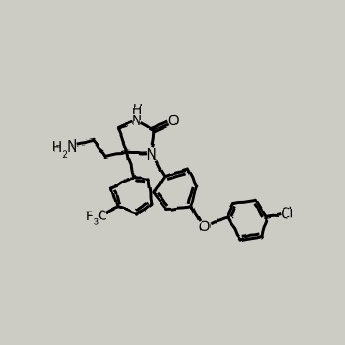 NCCC1(c2cccc(C(F)(F)F)c2)CNC(=O)N1c1ccc(Oc2ccc(Cl)cc2)cc1